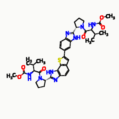 COC(=O)N[C@H](C(=O)N1CCC[C@H]1c1nc2ccc(-c3cc4ccc5nc([C@@H]6CCCN6C(=O)[C@@H](NC(=O)OC)C(C)C)[nH]c5c4s3)cc2[nH]1)C(C)C